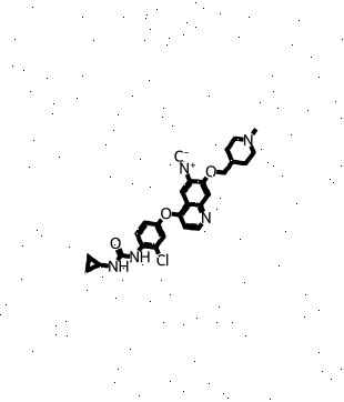 [C-]#[N+]c1cc2c(Oc3ccc(NC(=O)NC4CC4)c(Cl)c3)ccnc2cc1OCC1CCN(C)CC1